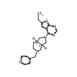 FC(F)(F)Cc1cc2c(N3C[C@H]4CCN(Cc5ccncc5)C[C@H]4C3)ncnc2s1